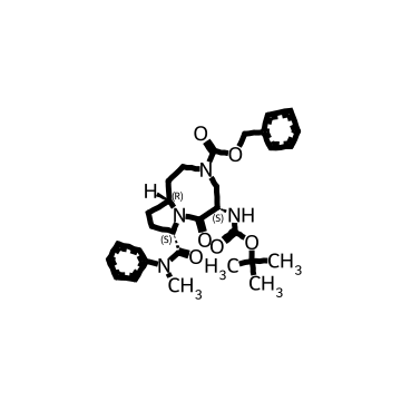 CN(C(=O)[C@@H]1CC[C@@H]2CCN(C(=O)OCc3ccccc3)C[C@H](NC(=O)OC(C)(C)C)C(=O)N21)c1ccccc1